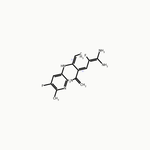 C=C(N)C(=C/C(F)=C(N)N)/C(=C\C)Nc1cnc(C)c(F)c1